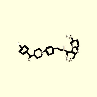 CCc1nc2ccc(C)cn2c1C(=O)NCCc1ccc(N2CCC(C(=O)c3ccc(F)cc3)CC2)cc1